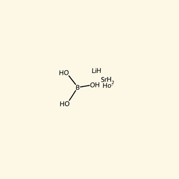 OB(O)O.[Ho].[LiH].[SrH2]